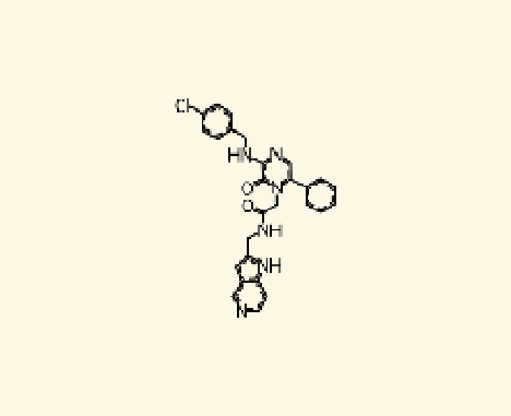 O=C(Cn1c(-c2ccccc2)cnc(NCc2ccc(Cl)cc2)c1=O)NCc1cc2cnccc2[nH]1